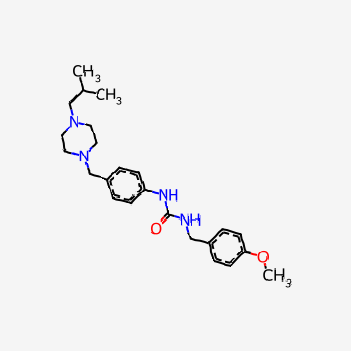 COc1ccc(CNC(=O)Nc2ccc(CN3CCN(CC(C)C)CC3)cc2)cc1